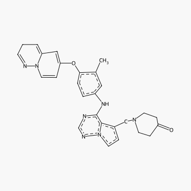 Cc1cc(Nc2ncnn3ccc(CN4CCC(=O)CC4)c23)ccc1OC1=CC2=CCC=NN2C=C1